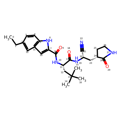 CCc1ccc2[nH]c(C(=O)N[C@@H](CC(C)(C)C)C(=O)N[C@H](C#N)C[C@@H]3CCNC3=O)cc2c1